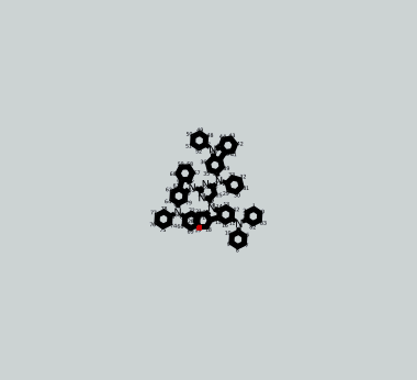 c1ccc(N(c2ccccc2)c2ccc3c(c2)c2ccccc2n3-c2cc(N(c3ccccc3)c3ccc4c(c3)c3ccccc3n4-c3ccccc3)nc(-n3c4ccccc4c4ccc(N(c5ccccc5)c5ccccc5)cc43)n2)cc1